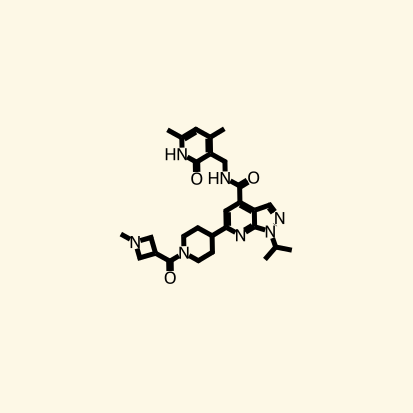 Cc1cc(C)c(CNC(=O)c2cc(C3CCN(C(=O)C4CN(C)C4)CC3)nc3c2cnn3C(C)C)c(=O)[nH]1